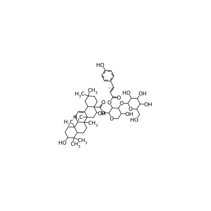 CC1(C)CCC2(C(=O)OC3OCC(O)C(OC4OC(CO)C(O)C(O)C4O)C3OC(=O)/C=C/c3ccc(O)cc3)C(O)CC3(C)C(=CCC4C5(C)CCC(O)C(C)(C)C5CCC43C)C2C1